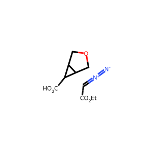 CCOC(=O)C=[N+]=[N-].O=C(O)C1C2COCC21